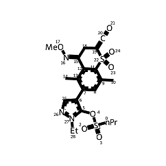 CCCS(=O)(=O)Oc1c(-c2cc(C)c3c(c2C)C(=NOC)CC(=C=O)S3(=O)=O)cnn1CC